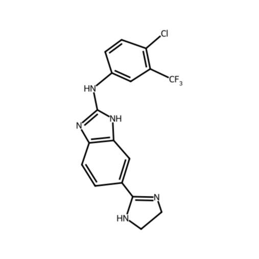 FC(F)(F)c1cc(Nc2nc3ccc(C4=NCCN4)cc3[nH]2)ccc1Cl